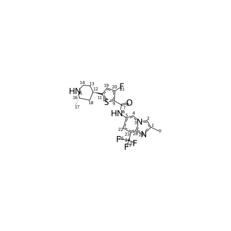 Cc1cn2cc(NC(=O)c3sc([C@@H]4CCN[C@@H](C)C4)cc3F)cc(C(F)(F)F)c2n1